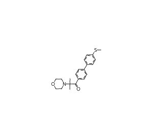 CSc1ccc(-c2ccc(C(=O)C(C)(C)N3CCOCC3)cc2)cc1